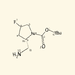 CC(C)(C)OC(=O)N1CC(F)C[C@H]1CN